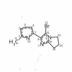 Cc1cccc(-c2nc3n(c2Br)CCC3)n1